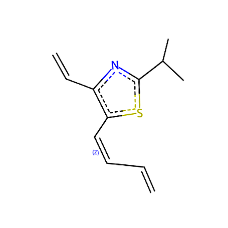 C=C/C=C\c1sc(C(C)C)nc1C=C